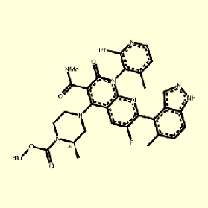 CNC(=O)c1c(N2CCN(C(=O)OC(C)(C)C)[C@H](C)C2)c2cc(F)c(-c3c(C)ccc4[nH]ncc34)nc2n(-c2c(C)ccnc2C(C)C)c1=O